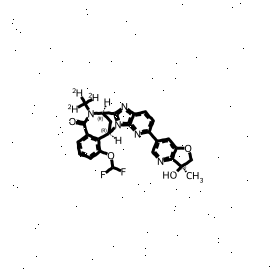 [2H]C([2H])([2H])N1C(=O)c2cccc(OC(F)F)c2[C@H]2C[C@@H]1c1nc3ccc(-c4cnc5c(c4)OC[C@@]5(C)O)nc3n12